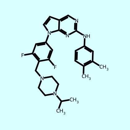 Cc1ccc(Nc2ncc3ccn(-c4cc(F)c(CN5CCN(C(C)C)CC5)c(F)c4)c3n2)cc1C